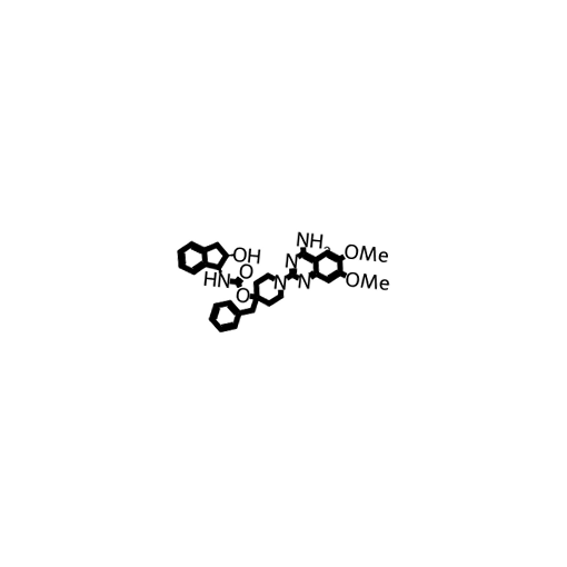 COc1cc2nc(N3CCC(Cc4ccccc4)(OC(=O)N[C@H]4c5ccccc5C[C@@H]4O)CC3)nc(N)c2cc1OC